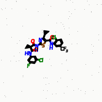 O=C(Nc1cc(C(F)(F)F)ccc1Cl)c1sc(NC(=O)C2(C(=O)Nc3cc(F)cc(Cl)c3)CC2)nc1C1CC1